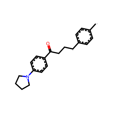 [CH2]c1ccc([CH]CCC(=O)c2ccc(N3CCCC3)cc2)cc1